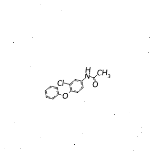 CC(=O)Nc1ccc(Oc2ccccc2)c(Cl)c1